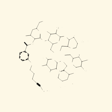 CCCCCCC#CCCCOc1cccc(C(=O)NC2C(O[C@@H]3C(CO)OC(OC4C(CO)O[C@@H](O[C@@H]5C(CO)O[C@@H](OC6C(CO[C@@H]7OC(C)C(O)C(O)C7OC)OC[C@@H](NC(C)=O)[C@H]6O)C(NC(C)=O)C5O)[C@@H](NC(C)=O)[C@H]4O)C(NC(C)=O)C3O)OC(CO)[C@@H](O)C2O)c1